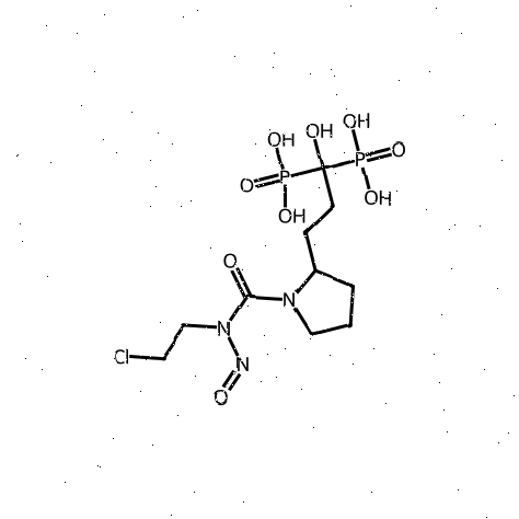 O=NN(CCCl)C(=O)N1CCCC1CCC(O)(P(=O)(O)O)P(=O)(O)O